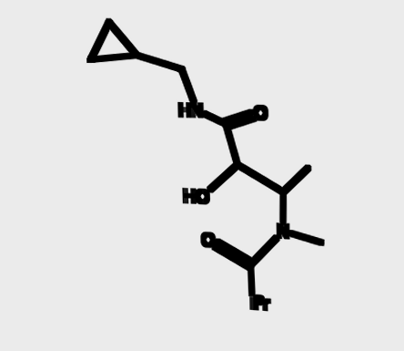 CC(C)C(=O)N(C)C(C)C(O)C(=O)NCC1CC1